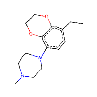 CCc1ccc(N2CCN(C)CC2)c2c1OCCO2